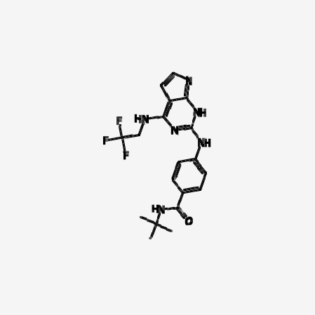 CC(C)(C)NC(=O)c1ccc(Nc2nc(NCC(F)(F)F)c3ccnc-3[nH]2)cc1